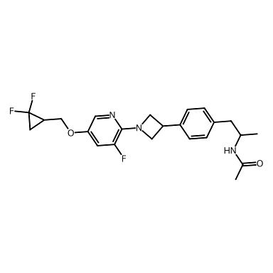 CC(=O)NC(C)Cc1ccc(C2CN(c3ncc(OCC4CC4(F)F)cc3F)C2)cc1